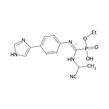 CCOP(=O)(O)/C(=N/c1ccc(-c2c[nH]cn2)cc1)NC(C)C#N